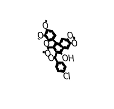 COC(=O)c1c(C(=O)c2ccc(Cl)cc2)c(O)c2cc3c(cc2c1-c1ccc(OC)c(OC)c1)OCO3